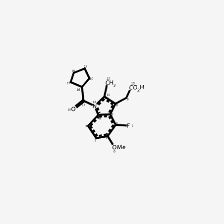 COc1ccc2c(c1F)c(CC(=O)O)c(C)n2C(=O)C1CCCC1